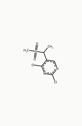 CC(c1cnc(Cl)nc1Cl)S(C)(=O)=O